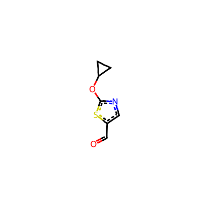 O=Cc1cnc(OC2CC2)s1